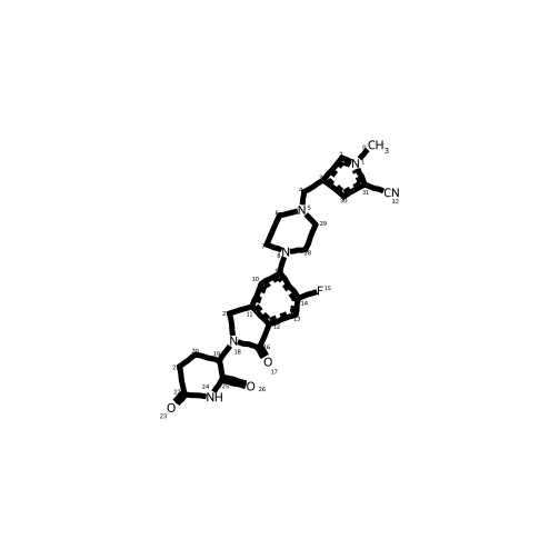 Cn1cc(CN2CCN(c3cc4c(cc3F)C(=O)N(C3CCC(=O)NC3=O)C4)CC2)cc1C#N